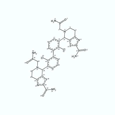 NC(=O)CN1CCc2nc(C(N)=O)sc2C1c1cccc(-c2cccc(C3c4sc(C(N)=O)nc4CCN3CC(N)=O)c2Cl)c1Cl